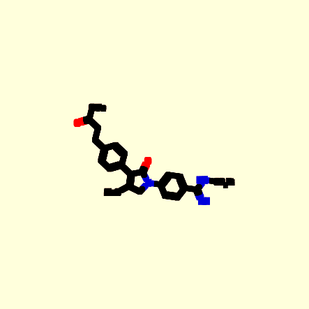 CCOC(=O)NC(=N)c1ccc(N2CC(OC)=C(c3ccc(CCC(=O)OC)cc3)C2=O)cc1